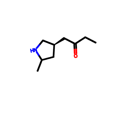 CCC(=O)C[C@@H]1CNC(C)C1